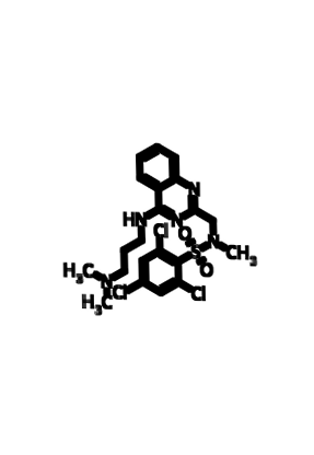 CN(C)CCCNc1nc(CN(C)S(=O)(=O)c2c(Cl)cc(Cl)cc2Cl)nc2ccccc12